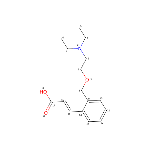 CCN(CC)CCOCc1ccccc1C=CC(=O)O